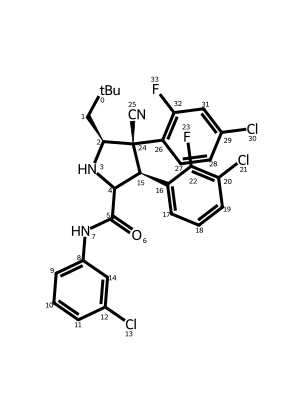 CC(C)(C)C[C@@H]1NC(C(=O)Nc2cccc(Cl)c2)[C@H](c2cccc(Cl)c2F)[C@@]1(C#N)c1ccc(Cl)cc1F